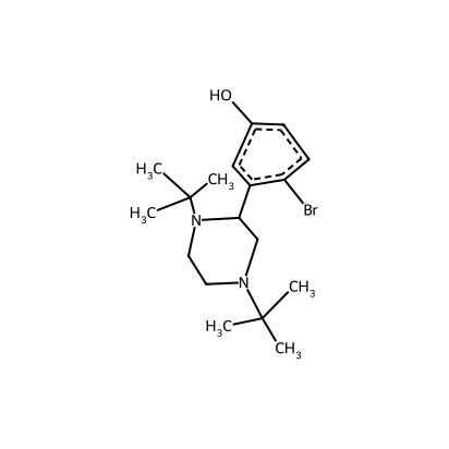 CC(C)(C)N1CCN(C(C)(C)C)C(c2cc(O)ccc2Br)C1